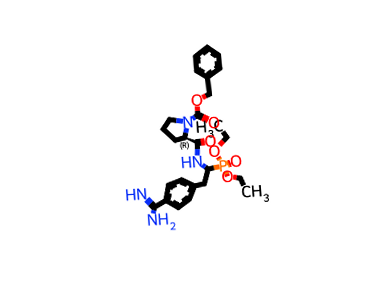 CCOP(=O)(OCC)C(Cc1ccc(C(=N)N)cc1)NC(=O)[C@H]1CCCN1C(=O)OCc1ccccc1